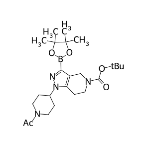 CC(=O)N1CCC(n2nc(B3OC(C)(C)C(C)(C)O3)c3c2CCN(C(=O)OC(C)(C)C)C3)CC1